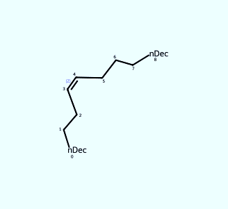 CCCCCCCCCCCC/C=C\CCCCCCCCCCCCC